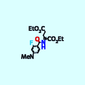 CCOC(=O)CC[C@H](NC(=O)c1ccc(NC)cc1F)C(=O)OCC